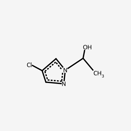 CC(O)n1cc(Cl)cn1